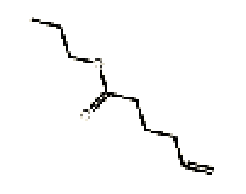 C=CCCCC(=O)OCCC